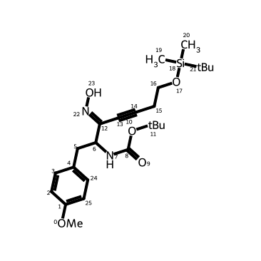 COc1ccc(CC(NC(=O)OC(C)(C)C)C(C#CCCO[Si](C)(C)C(C)(C)C)=NO)cc1